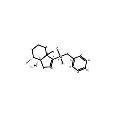 C[C@@H]1CCCC2(C)C([Si](C)(C)Cc3ccccc3)=CC[C@@H]12